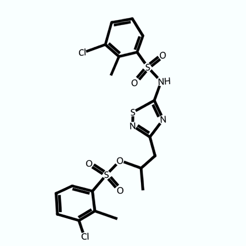 Cc1c(Cl)cccc1S(=O)(=O)Nc1nc(CC(C)OS(=O)(=O)c2cccc(Cl)c2C)ns1